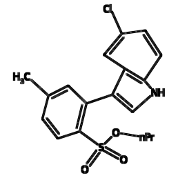 CCCOS(=O)(=O)c1ccc(C)cc1-c1c[nH]c2ccc(Cl)cc12